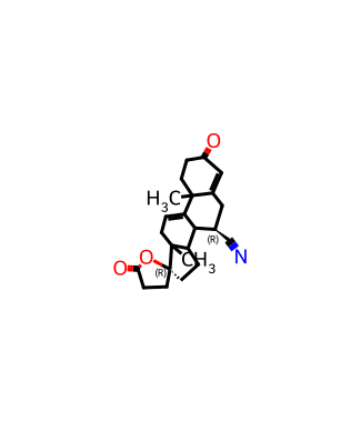 CC12CCC(=O)C=C1C[C@@H](C#N)C1C2=CCC2(C)C1CC[C@@]21CCC(=O)O1